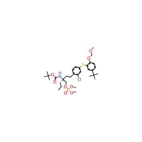 CCC[C@](CCc1ccc(Sc2cc(C(C)(C)C)ccc2OCOC)cc1Cl)(COP(=O)(OC)OC)NC(=O)OC(C)(C)C